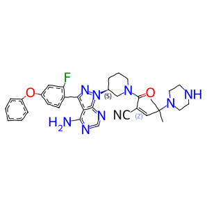 CC(C)(/C=C(/C#N)C(=O)N1CCC[C@H](n2nc(-c3ccc(Oc4ccccc4)cc3F)c3c(N)ncnc32)C1)N1CCNCC1